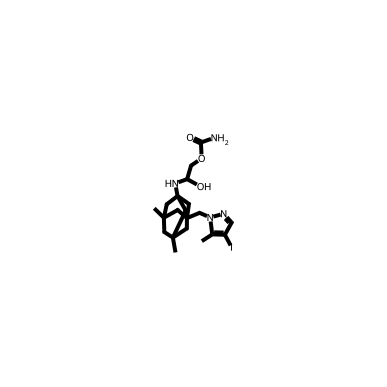 Cc1c(I)cnn1CC12CC3(C)CC(C)(C1)CC(NC(O)COC(N)=O)(C3)C2